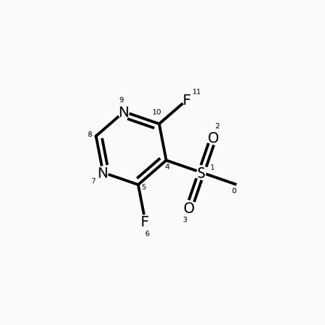 CS(=O)(=O)c1c(F)ncnc1F